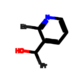 CCc1ncccc1C(O)C(C)C